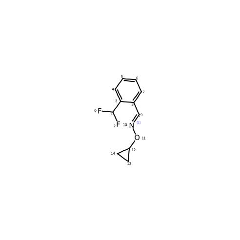 FC(F)c1ccccc1/[C]=N/OC1CC1